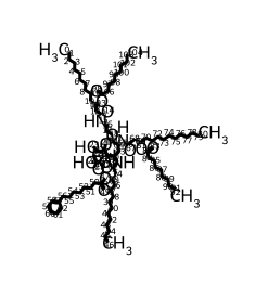 CCCCCCCCCCC[C@H](CC(=O)NCCO[C@@H]1OC(CO)[C@@H](OP(=O)(O)O)C(NC(=O)C[C@@H](CCCCCCCCCCC)OC(=O)CCCCCCCc2ccccc2)CC1NC(=O)C[C@@H](CCCCCCCCCCC)OC(=O)CCCCCCCCC)OC(=O)CCCCCCCCC